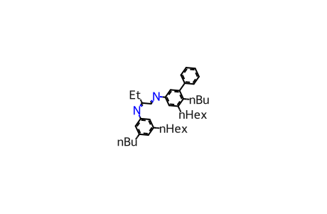 CCCCCCc1cc(CCCC)cc(N=C(C=Nc2cc(CCCCCC)c(CCCC)c(-c3ccccc3)c2)CC)c1